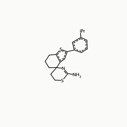 CC(C)c1cccc(-c2cc3c(s2)CCCC32CCSC(N)=N2)c1